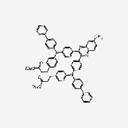 COC(=O)CCc1ccc(N(c2ccc(-c3ccccc3)cc2)c2ccc(-c3nc4ccc(C)cc4nc3-c3ccc(N(c4ccc(CCC(=O)OC)cc4)c4ccc(-c5ccccc5)cc4)cc3)cc2)cc1